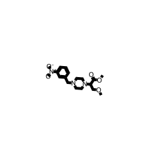 COCC(C(=O)OC)N1CCN(Cc2cccc([N+](=O)[O-])c2)CC1